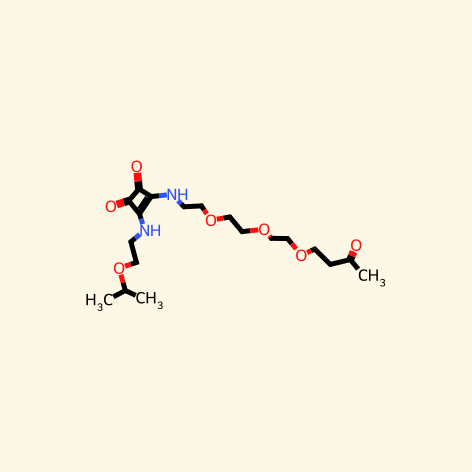 CC(=O)CCOCCOCCOCCNc1c(NCCOC(C)C)c(=O)c1=O